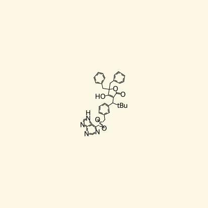 CC(C)(C)C(C1=C(O)C(Cc2ccccc2)(Cc2ccccc2)OC1=O)c1cccc(CS(=O)(=O)c2ncnc3nc[nH]c23)c1